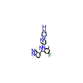 Cc1cc(F)cc2c(-c3cccc4nn(C)cc34)nn(-c3ccc(N4CCNCC4)nc3)c12